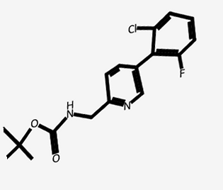 CC(C)(C)OC(=O)NCc1ccc(-c2c(F)cccc2Cl)cn1